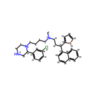 CN(CCCCN1CCNCC1c1cccc(Cl)c1)CCC(c1cccs1)c1cccc2ccccc12